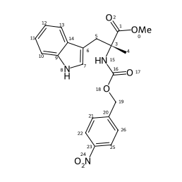 COC(=O)[C@@](C)(Cc1c[nH]c2ccccc12)NC(=O)OCc1ccc([N+](=O)[O-])cc1